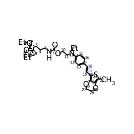 CCO[Si](CCCNC(=O)OCCN(CC)c1ccc(/C=C/c2sc(C)c3c2OCCO3)cc1)(OCC)OCC